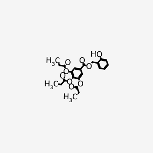 CCC(=O)Oc1cc(C(=O)OCc2ccccc2O)cc(OC(=O)CC)c1OC(=O)CC